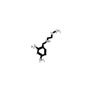 COCCNCc1ccc(N)cc1N